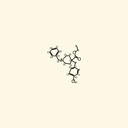 CCOC(=O)C1(Cc2ccc(OC)cc2)CCN(Cc2ccccc2)CC1